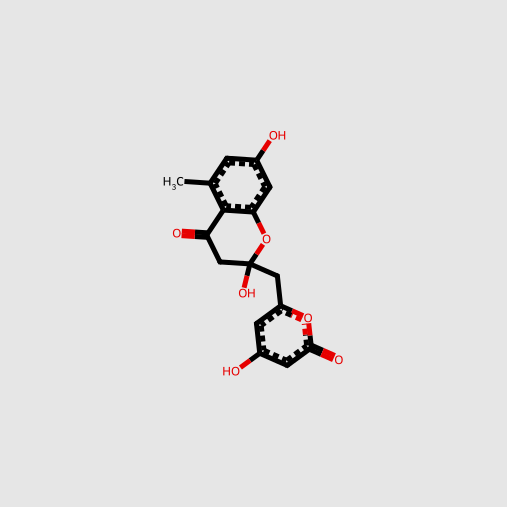 Cc1cc(O)cc2c1C(=O)CC(O)(Cc1cc(O)cc(=O)o1)O2